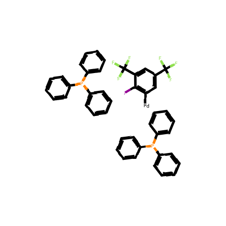 FC(F)(F)c1c[c]([Pd])c(I)c(C(F)(F)F)c1.c1ccc(P(c2ccccc2)c2ccccc2)cc1.c1ccc(P(c2ccccc2)c2ccccc2)cc1